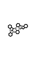 c1cc2c3c(c1)-n1c4ccccc4n4c5ccccc5c(c14)B3c1cccc3c1n-2c1cc2ccccc2n31